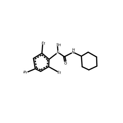 CCc1cc(C(C)C)cc(CC)c1N(S)C(=O)NC1CCCCC1